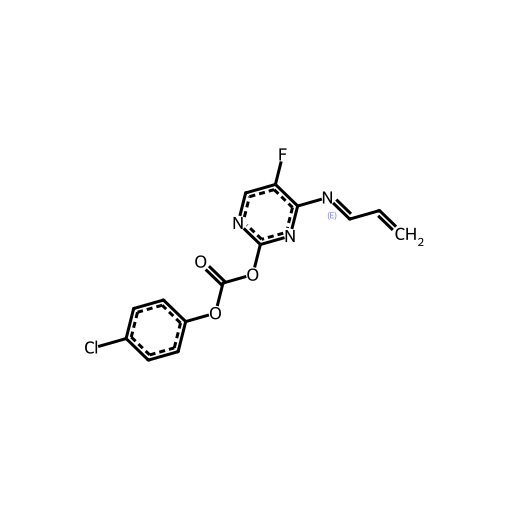 C=C/C=N/c1nc(OC(=O)Oc2ccc(Cl)cc2)ncc1F